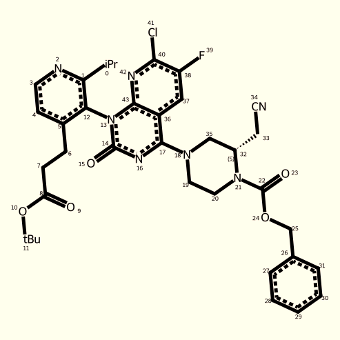 CC(C)c1nccc(CCC(=O)OC(C)(C)C)c1-n1c(=O)nc(N2CCN(C(=O)OCc3ccccc3)[C@@H](CC#N)C2)c2cc(F)c(Cl)nc21